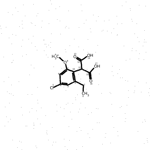 CCc1cc(Cl)cc(OC)c1C(C(=O)O)C(=O)O